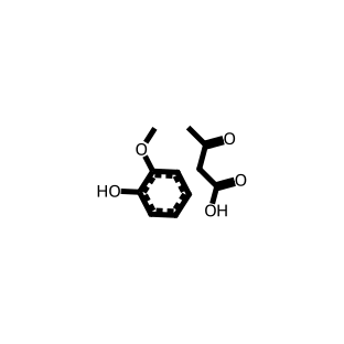 CC(=O)CC(=O)O.COc1ccccc1O